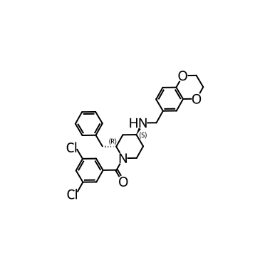 O=C(c1cc(Cl)cc(Cl)c1)N1CC[C@H](NCc2ccc3c(c2)OCCO3)C[C@H]1Cc1ccccc1